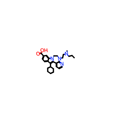 CCCN(C)CCN1CCn2c(c(C3CCCCC3)c3ccc(C(=O)O)cc32)-c2cccnc21